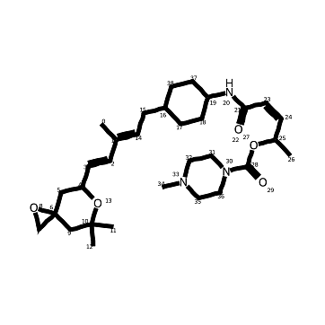 CC(/C=C/C1CC2(CO2)CC(C)(C)O1)=C\CC1CCC(NC(=O)/C=C\C(C)OC(=O)N2CCN(C)CC2)CC1